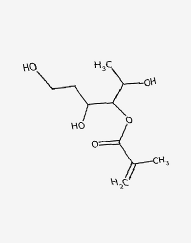 C=C(C)C(=O)OC(C(C)O)C(O)CCO